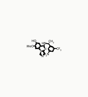 COc1cc2c(cc1O)c(N[C@H](C)c1cc([N+](=O)[O-])cc(C(F)(F)F)c1)nc1cncn12